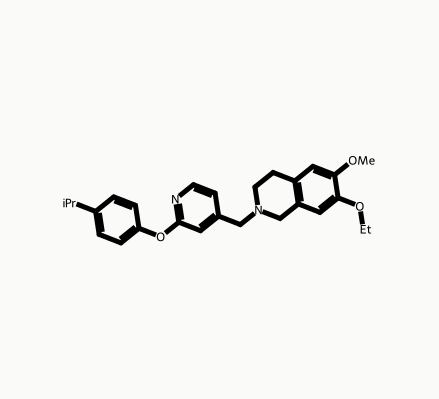 CCOc1cc2c(cc1OC)CCN(Cc1ccnc(Oc3ccc(C(C)C)cc3)c1)C2